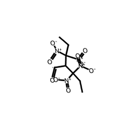 CCC(C([C]=O)C(CC)([N+](=O)[O-])[N+](=O)[O-])([N+](=O)[O-])[N+](=O)[O-]